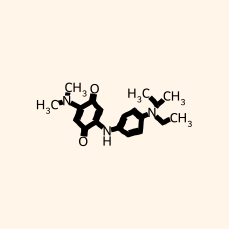 CCN(c1ccc(NC2=CC(=O)C(N(C)C)=CC2=O)cc1)C(C)C